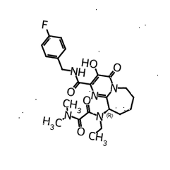 CCN(C(=O)C(=O)N(C)C)[C@@H]1CCCCn2c1nc(C(=O)NCc1ccc(F)cc1)c(O)c2=O